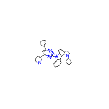 c1ccc(-c2cc(-c3cccnc3)nc(-n3c4ccccc4c4c5c(ccc43)ccn5-c3ccccc3)n2)cc1